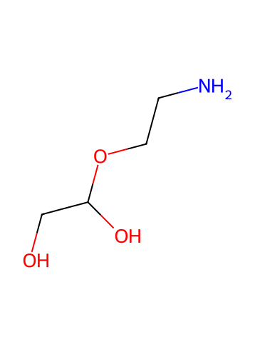 NCCOC(O)CO